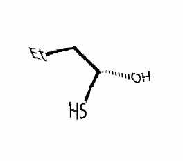 CCC[C@H](O)S